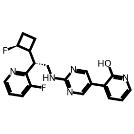 Oc1ncccc1-c1cnc(NC[C@H](c2ncccc2F)C2CC[C@@H]2F)nc1